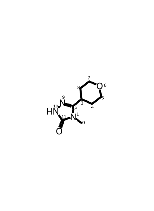 Cn1c(C2CCOCC2)n[nH]c1=O